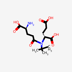 CC(C)(C)N(C(=O)CC[C@H](N)C(=O)O)[C@H](CCC(=O)O)C(=O)O